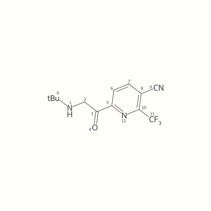 CC(C)(C)NCC(=O)c1ccc(C#N)c(C(F)(F)F)n1